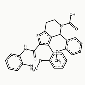 COc1ccccc1-c1c(C(=O)Nc2ccccc2N)sc2c1C(c1ccccc1OC)N(C(=O)O)CC2